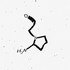 NC1CCCN1CC=O